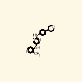 FC(F)(F)c1cnccc1Nc1cnc(Nc2ccc(C3CCOCC3)cc2)nc1